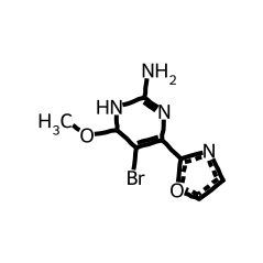 COC1NC(N)=NC(c2ncco2)=C1Br